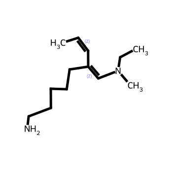 C/C=C\C(=C/N(C)CC)CCCCCN